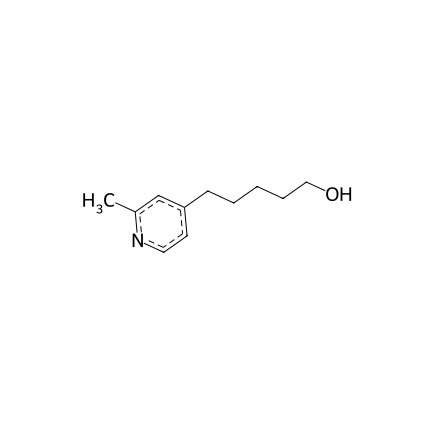 Cc1cc(CCCCCO)ccn1